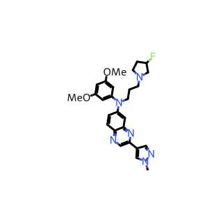 COc1cc(OC)cc(N(CCCN2CCC(F)C2)c2ccc3ncc(-c4cnn(C)c4)nc3c2)c1